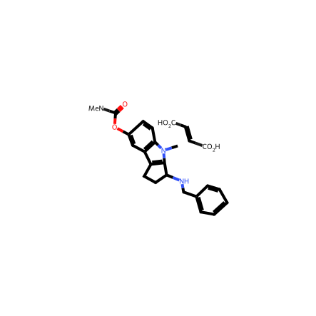 CNC(=O)Oc1ccc2c(c1)c1c(n2C)C(NCc2ccccc2)CC1.O=C(O)C=CC(=O)O